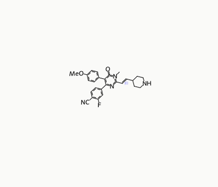 COc1ccc(-c2c(-c3ccc(C#N)c(F)c3)nc(/C=C/C3CCNCC3)n(C)c2=O)cc1